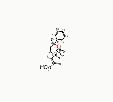 C=C(C(=O)O)C(C)[Si]1(C)CCC(C)(c2ccccc2)O[Si]1(C)C